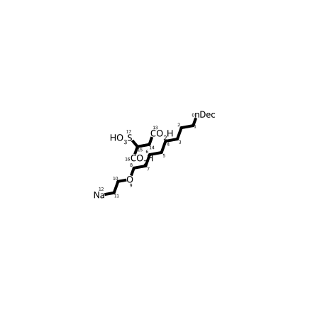 CCCCCCCCCCCCCCCCCCOC[CH2][Na].O=C(O)CC(C(=O)O)S(=O)(=O)O